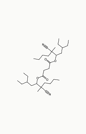 CCCCC(C)(C#N)C(CC(CC)CC)OC(=O)CCC(=O)OC(CC(CC)CC)C(C)(C#N)CCCC